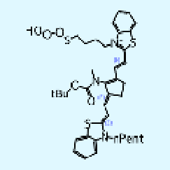 CCCCCN1/C(=C/C=C2\CCC(/C=C/c3sc4ccccc4[n+]3CCCCSOOO)=C2N(C)C(=O)OC(C)(C)C)Sc2ccccc21